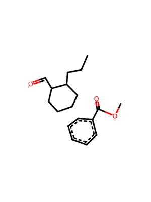 CCCC1CCCCC1C=O.COC(=O)c1ccccc1